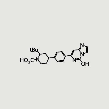 CC(C)(C)C1CC(c2ccc(-c3cc4nccn4c(O)n3)cc2)CCN1C(=O)O